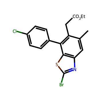 CCOC(=O)Cc1c(C)cc2nc(Br)sc2c1-c1ccc(Cl)cc1